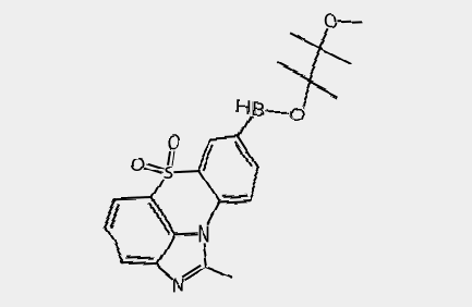 COC(C)(C)C(C)(C)OBc1ccc2c(c1)S(=O)(=O)c1cccc3nc(C)n-2c13